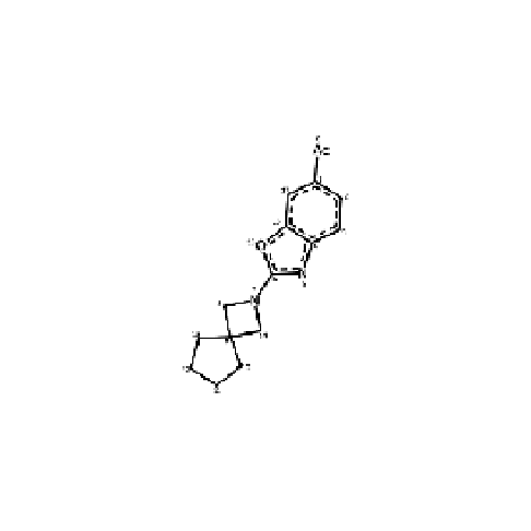 CC(=O)c1ccc2nc(N3CC4(CCCC4)C3)oc2c1